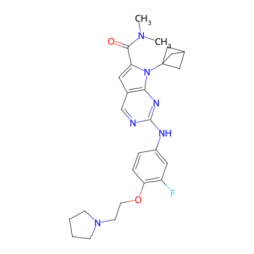 CN(C)C(=O)c1cc2cnc(Nc3ccc(OCCN4CCCC4)c(F)c3)nc2n1C12CC(C1)C2